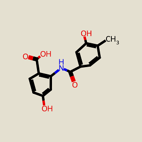 Cc1ccc(C(=O)Nc2cc(O)ccc2C(=O)O)cc1O